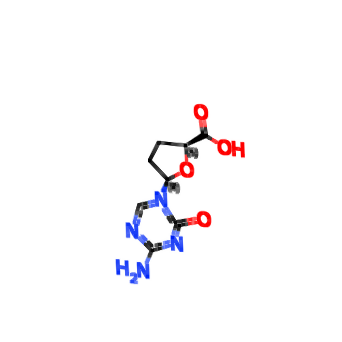 Nc1ncn([C@H]2CC[C@@H](C(=O)O)O2)c(=O)n1